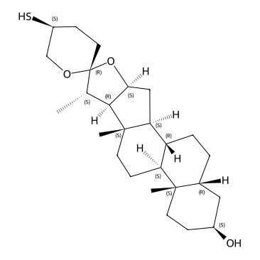 C[C@H]1[C@H]2[C@H](C[C@H]3[C@@H]4CC[C@@H]5C[C@@H](O)CC[C@]5(C)[C@H]4CC[C@]23C)O[C@]12CC[C@H](S)CO2